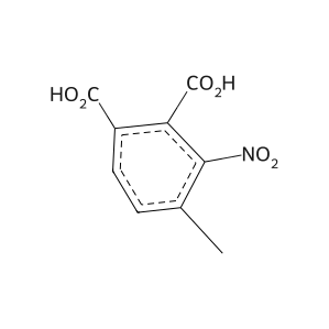 Cc1ccc(C(=O)O)c(C(=O)O)c1[N+](=O)[O-]